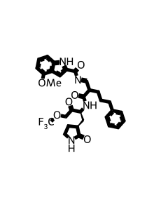 COc1cccc2[nH]c(C(=O)/N=C/C(CCCc3ccccc3)C(=O)N[C@@H](C[C@@H]3CCNC3=O)C(=O)COC(F)(F)F)cc12